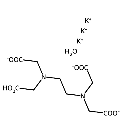 O.O=C([O-])CN(CCN(CC(=O)[O-])CC(=O)O)CC(=O)[O-].[K+].[K+].[K+]